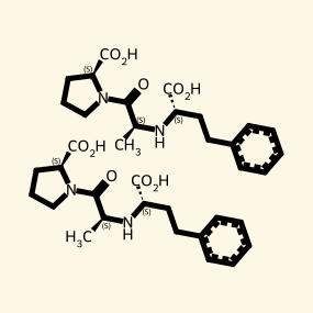 C[C@H](N[C@@H](CCc1ccccc1)C(=O)O)C(=O)N1CCC[C@H]1C(=O)O.C[C@H](N[C@@H](CCc1ccccc1)C(=O)O)C(=O)N1CCC[C@H]1C(=O)O